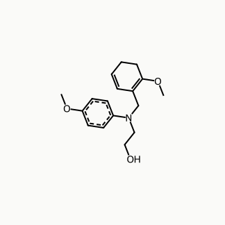 COC1=C(CN(CCO)c2ccc(OC)cc2)C=CCC1